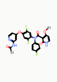 CCOc1cc[nH]c(=O)c1C(=O)N(c1ccc(F)cc1)c1cc(F)c(Oc2ccnc(NC(=O)CC)c2)cc1F